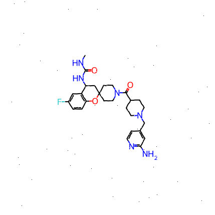 CNC(=O)NC1CC2(CCN(C(=O)C3CCN(Cc4ccnc(N)c4)CC3)CC2)Oc2ccc(F)cc21